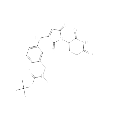 CN(Cc1cccc(NC2=CC(=O)N(C3CCC(=O)NC3=O)C2=O)c1)C(=O)OC(C)(C)C